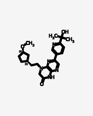 CO[C@@H]1CC[C@H](CCN2CC(=O)Nc3ncc(-c4ccc(C(C)(C)O)nc4)nc32)C1